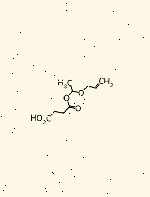 C=CCOC(C)OC(=O)CCC(=O)O